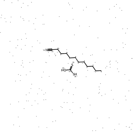 CCCCCCCCCCCC#N.OC(=S)S